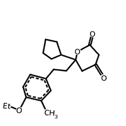 CCOc1ccc(CCC2(C3CCCC3)CC(=O)CC(=O)O2)cc1C